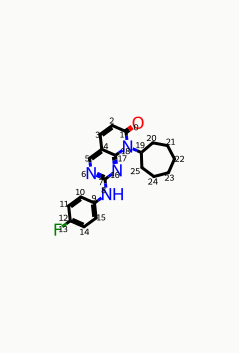 O=c1ccc2cnc(Nc3ccc(F)cc3)nc2n1C1CCCCCC1